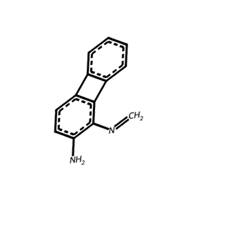 C=Nc1c(N)ccc2c1-c1ccccc1-2